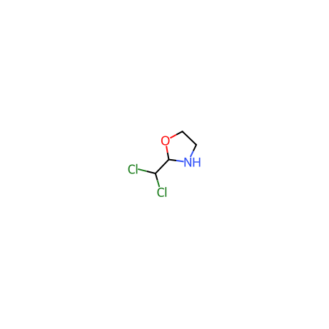 ClC(Cl)C1NCCO1